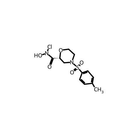 Cc1ccc(S(=O)(=O)N2CCO[C@@H](C(=O)N(O)Cl)C2)cc1